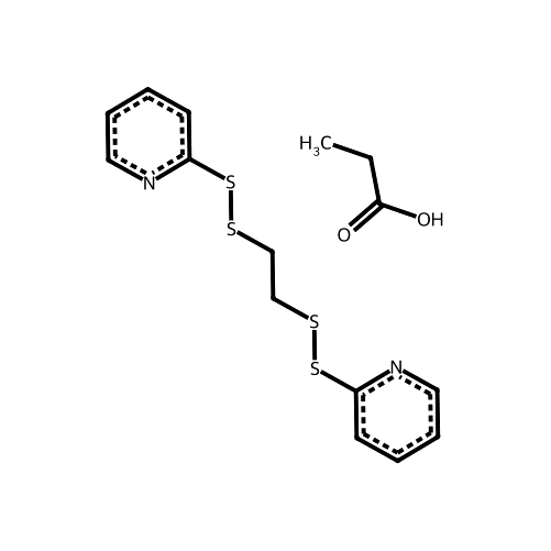 CCC(=O)O.c1ccc(SSCCSSc2ccccn2)nc1